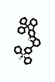 O=P(c1ccccc1)(c1ccccc1)c1ccc(-c2cccc3c2oc2cc4c(cc23)-c2ccccc2C4(c2ccccc2)c2ccccc2)cc1